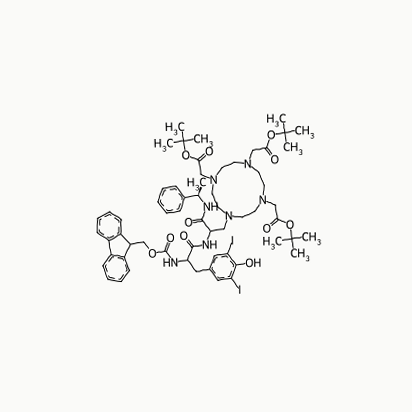 C[C@@H](NC(=O)C(CN1CCN(CC(=O)OC(C)(C)C)CCN(CC(=O)OC(C)(C)C)CCN(CC(=O)OC(C)(C)C)CC1)NC(=O)C(Cc1cc(I)c(O)c(I)c1)NC(=O)OCC1c2ccccc2-c2ccccc21)c1ccccc1